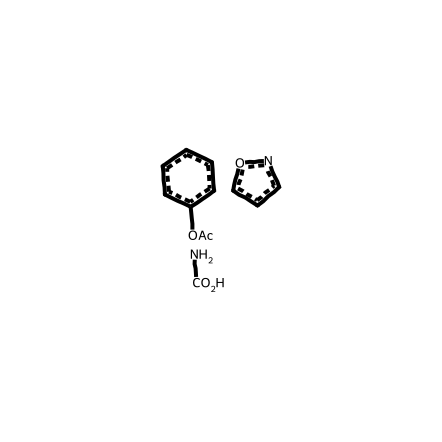 CC(=O)Oc1ccccc1.NC(=O)O.c1cnoc1